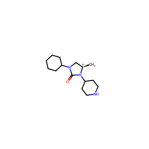 C[C@@H]1CN(C2CCCCC2)C(=O)N1C1CCNCC1